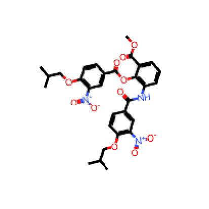 COC(=O)c1cccc(NC(=O)c2ccc(OCC(C)C)c([N+](=O)[O-])c2)c1OC(=O)c1ccc(OCC(C)C)c([N+](=O)[O-])c1